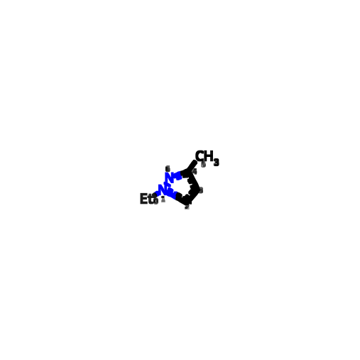 CCn1[c]cc(C)n1